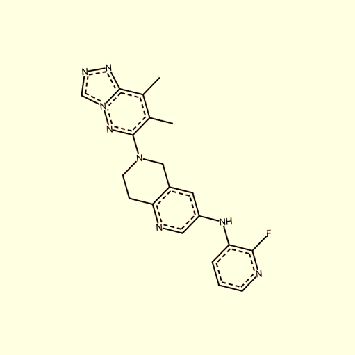 Cc1c(N2CCc3ncc(Nc4cccnc4F)cc3C2)nn2cnnc2c1C